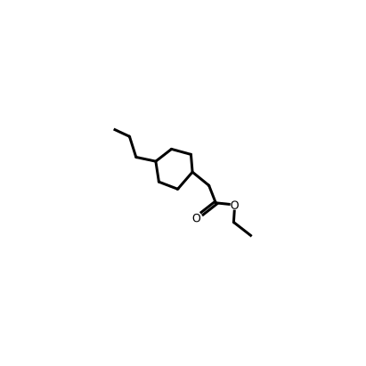 CCCC1CCC(CC(=O)OCC)CC1